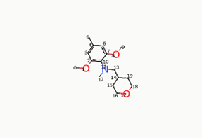 COc1cc(C)cc(OC)c1N(C)CC1CCOCC1